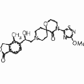 COc1nsc(N2CCOC3(CCN(CC(O)c4ccc5c(c4C)COC5=O)CC3)C2=O)n1